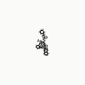 CC(=O)N(NCc1ccccc1Cl)[C@@H](CCC(=O)OCc1ccccc1)COC(=O)Nc1cc2ccccc2cn1